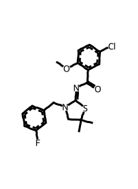 COc1ccc(Cl)cc1C(=O)N=C1SC(C)(C)CN1Cc1cccc(F)c1